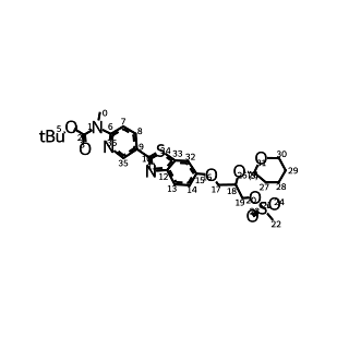 CN(C(=O)OC(C)(C)C)c1ccc(-c2nc3ccc(OCC(COS(C)(=O)=O)O[C@H]4CCCCO4)cc3s2)cn1